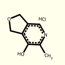 Cc1ncc2c(c1O)COC2.Cl